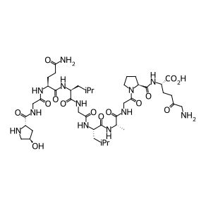 CC(C)C[C@H](NC(=O)CNC(=O)[C@H](CC(C)C)NC(=O)[C@H](CCC(N)=O)NC(=O)CNC(=O)[C@@H]1C[C@@H](O)CN1)C(=O)N[C@@H](C)C(=O)NCC(=O)N1CCC[C@H]1C(=O)N[C@@H](CCC(=O)CN)C(=O)O